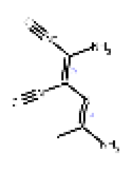 [C-]#[N+]/C(N)=C(/N=C(\C)N)[N+]#[C-]